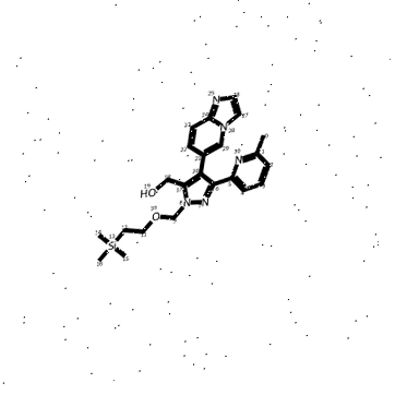 Cc1cccc(-c2nn(COCC[Si](C)(C)C)c(CO)c2-c2ccc3nccn3c2)n1